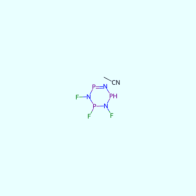 CC#N.Fn1pn[pH]n(F)p1F